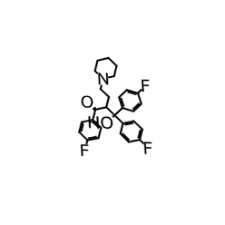 O=C(c1ccc(F)cc1)C(CCN1CCCCC1)C(O)(c1ccc(F)cc1)c1ccc(F)cc1